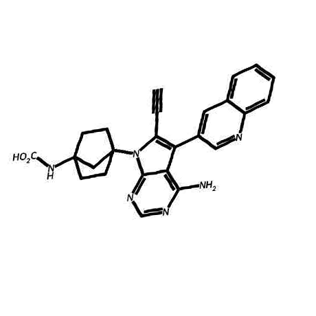 C#Cc1c(-c2cnc3ccccc3c2)c2c(N)ncnc2n1C12CCC(NC(=O)O)(CC1)C2